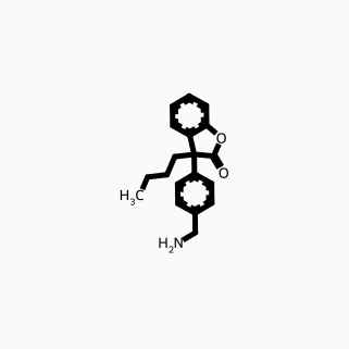 CCCCC1(c2ccc(CN)cc2)C(=O)Oc2ccccc21